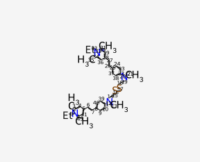 CCN1C(C)=CC(/C=C/c2ccc(N(C)CCSSCCN(C)c3ccc(/C=C/c4cc(C)[n+](CC)c(C)c4)cc3)cc2)=CC1C